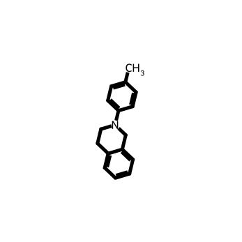 Cc1ccc(N2CCc3ccccc3C2)cc1